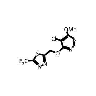 COc1ncnc(OCc2nnc(C(F)(F)F)s2)c1Cl